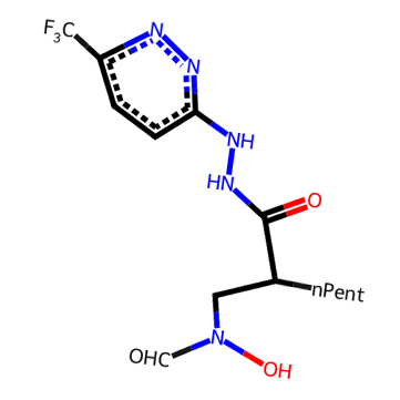 CCCCCC(CN(O)C=O)C(=O)NNc1ccc(C(F)(F)F)nn1